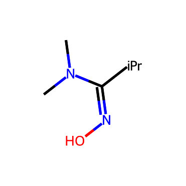 CC(C)/C(=N/O)N(C)C